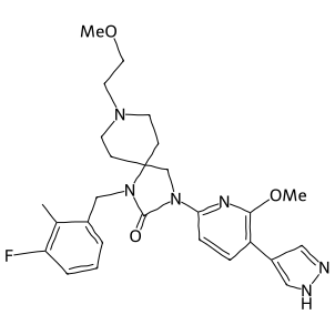 COCCN1CCC2(CC1)CN(c1ccc(-c3cn[nH]c3)c(OC)n1)C(=O)N2Cc1cccc(F)c1C